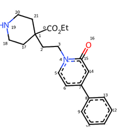 CCOC(=O)C1(CCn2ccc(-c3ccccc3)cc2=O)CCNCC1